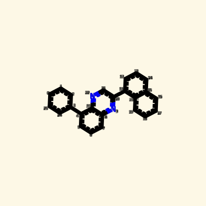 c1ccc(-c2cccc3nc(-c4cccc5ccccc45)cnc23)cc1